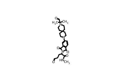 CNC(=O)C(CCC=O)N1C(=O)c2ccc(N3CCC4(CC3)CCN(C(C)(C)C=O)CC4)cc2C1=O